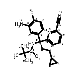 CC(C)(C)[S+]([O-])N[C@](CCC1CC1)(c1ccc(F)c(N)c1)c1cccc(C#N)n1